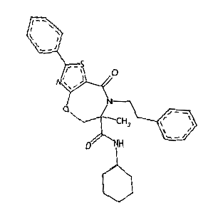 CC1(C(=O)NC2CCCCC2)COc2nc(-c3ccccc3)sc2C(=O)N1CCc1ccccc1